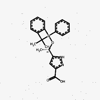 C[C@H](O[Si]1(c2ccccc2)c2ccccc2C1(C)C)c1cc(C(=O)O)n[nH]1